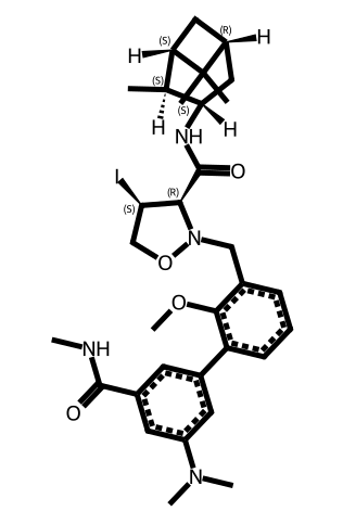 CNC(=O)c1cc(-c2cccc(CN3OC[C@@H](I)[C@H]3C(=O)N[C@H]3C[C@H]4C[C@@H]([C@@H]3C)C4(C)C)c2OC)cc(N(C)C)c1